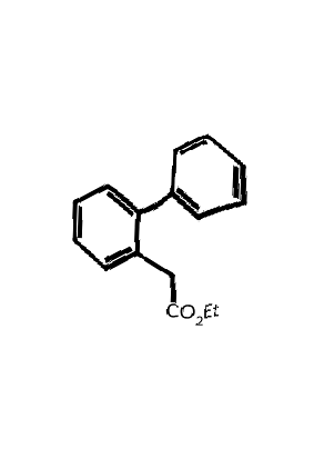 CCOC(=O)Cc1ccccc1-c1ccccc1